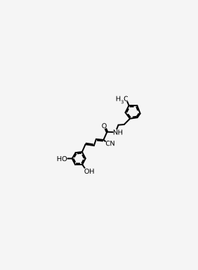 Cc1cccc(CCNC(=O)/C(C#N)=C/C=C/c2cc(O)cc(O)c2)c1